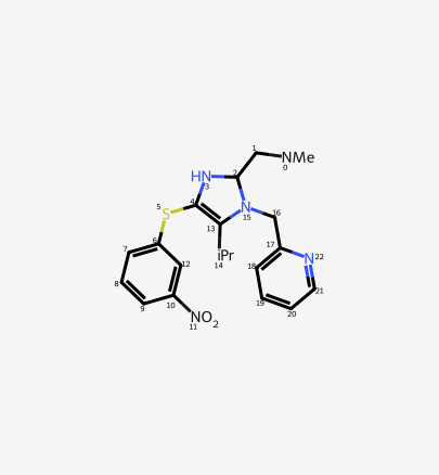 CNCC1NC(Sc2cccc([N+](=O)[O-])c2)=C(C(C)C)N1Cc1ccccn1